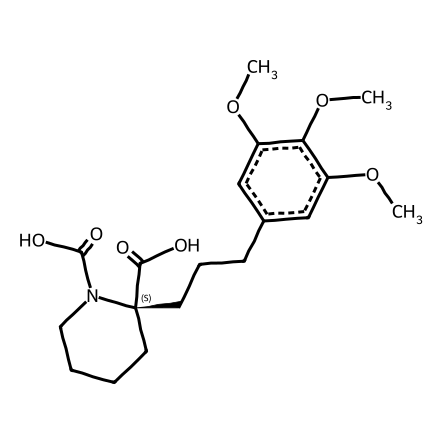 COc1cc(CCC[C@@]2(C(=O)O)CCCCN2C(=O)O)cc(OC)c1OC